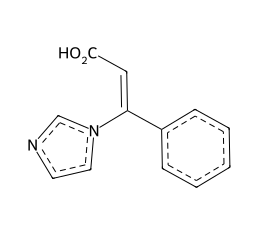 O=C(O)/C=C(/c1ccccc1)n1ccnc1